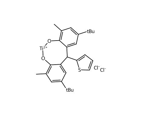 Cc1cc(C(C)(C)C)cc2c1[O][Ti+2][O]c1c(C)cc(C(C)(C)C)cc1C2c1cccs1.[Cl-].[Cl-]